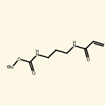 C=CC(=O)NCCCNC(=O)OC(C)(C)C